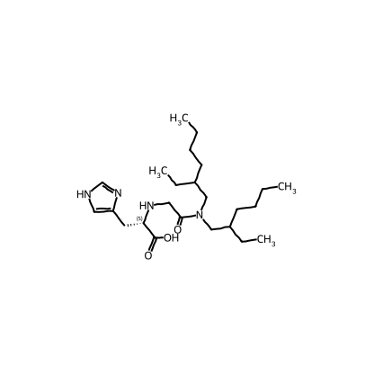 CCCCC(CC)CN(CC(CC)CCCC)C(=O)CN[C@@H](Cc1c[nH]cn1)C(=O)O